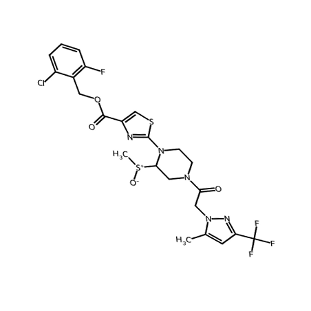 Cc1cc(C(F)(F)F)nn1CC(=O)N1CCN(c2nc(C(=O)OCc3c(F)cccc3Cl)cs2)C([S+](C)[O-])C1